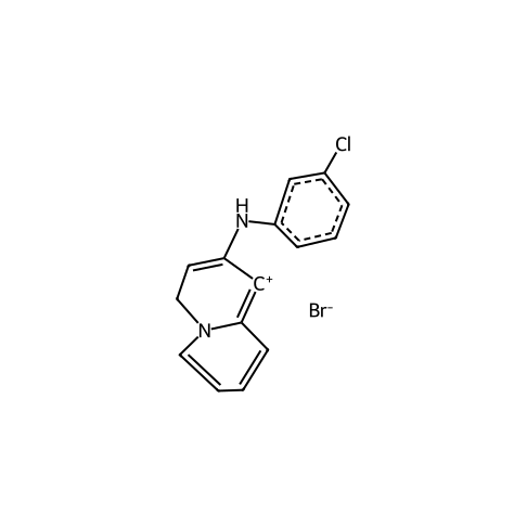 Clc1cccc(NC2=CCN3C=CC=CC3=[C+]2)c1.[Br-]